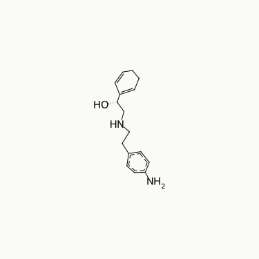 Nc1ccc(CCNC[C@H](O)C2=CCCC=C2)cc1